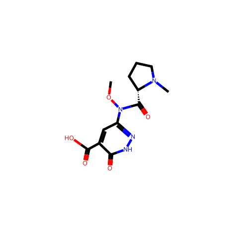 CON(C(=O)[C@@H]1CCCN1C)c1cc(C(=O)O)c(=O)[nH]n1